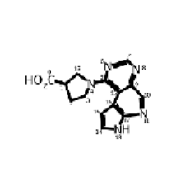 O=C(O)C1CCN(c2ncnc3cnc4[nH]ccc4c23)C1